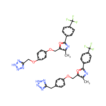 Cc1nc(-c2ccc(C(F)(F)F)cc2)oc1COc1ccc(Cc2nn[nH]n2)cc1.Cc1nc(-c2ccc(C(F)(F)F)cc2)oc1COc1ccc(OCc2nn[nH]n2)cc1